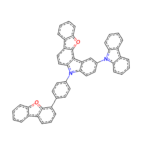 c1ccc2c(c1)oc1c(-c3ccc(-n4c5ccc(-n6c7ccccc7c7ccccc76)cc5c5c6oc7ccccc7c6ccc54)cc3)cccc12